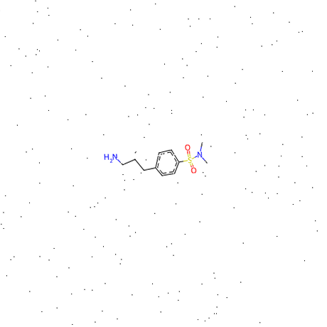 CN(C)S(=O)(=O)c1ccc(CCCN)cc1